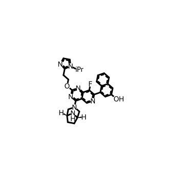 CC(C)n1ccnc1CCOc1nc(N2C[C@H]3CC[C@@H](C2)N3)c2cnc(-c3cc(O)cc4ccccc34)c(F)c2n1